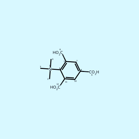 C[Si](C)(C)c1c(C(=O)O)cc(C(=O)O)cc1C(=O)O